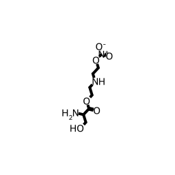 NC(CO)C(=O)OCCNCCO[N+](=O)[O-]